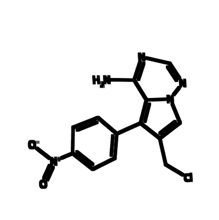 Nc1ncnn2cc(CCl)c(-c3ccc([N+](=O)[O-])cc3)c12